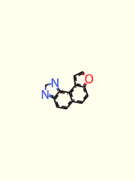 c1cc2c(ccc3ccc4c(c32)=NCN=4)o1